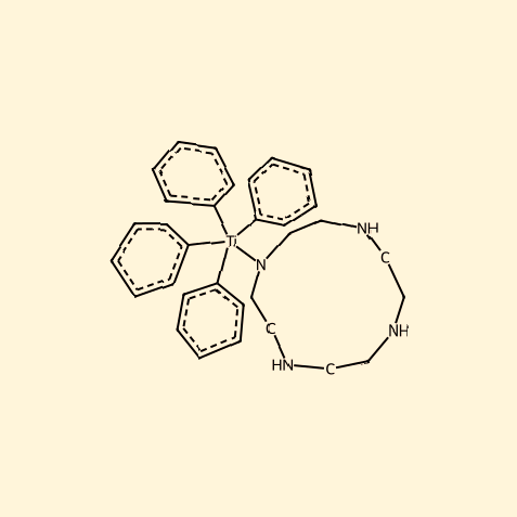 c1cc[c]([Ti]([c]2ccccc2)([c]2ccccc2)([c]2ccccc2)[N]2CCNCCNCCNCC2)cc1